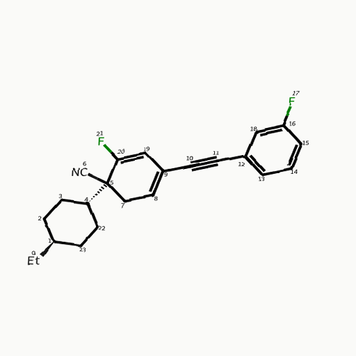 CC[C@H]1CC[C@H](C2(C#N)CC=C(C#Cc3cccc(F)c3)C=C2F)CC1